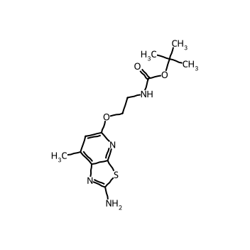 Cc1cc(OCCNC(=O)OC(C)(C)C)nc2sc(N)nc12